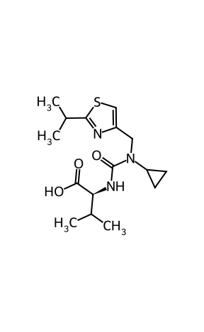 CC(C)c1nc(CN(C(=O)N[C@H](C(=O)O)C(C)C)C2CC2)cs1